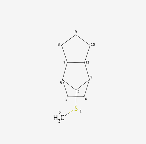 CSC1C2CCC1C1CCCC12